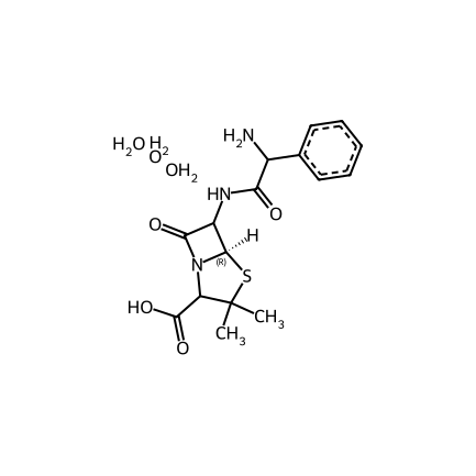 CC1(C)S[C@@H]2C(NC(=O)C(N)c3ccccc3)C(=O)N2C1C(=O)O.O.O.O